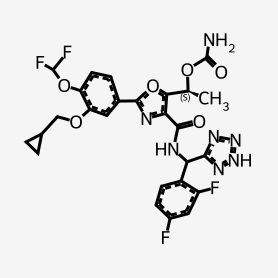 C[C@H](OC(N)=O)c1oc(-c2ccc(OC(F)F)c(OCC3CC3)c2)nc1C(=O)NC(c1nn[nH]n1)c1ccc(F)cc1F